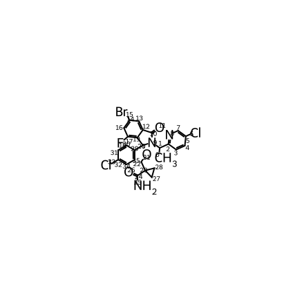 CC(c1ccc(Cl)cn1)N1C(=O)c2cc(Br)cc(F)c2[C@]1(OCC1(C(N)=O)CC1)c1ccc(Cl)cc1